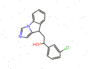 OC(CC1c2ccccc2-n2cncc21)c1cccc(Cl)c1